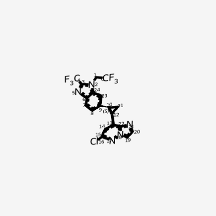 FC(F)(F)Cn1c(C(F)(F)F)nc2ccc([C@H]3CC3c3cc(Cl)nn4ccnc34)cc21